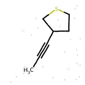 CC#CC1CCSC1